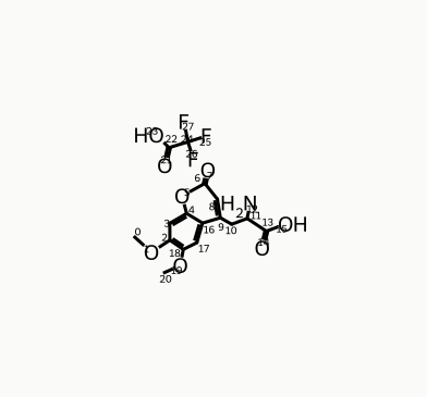 COc1cc2oc(=O)cc(CC(N)C(=O)O)c2cc1OC.O=C(O)C(F)(F)F